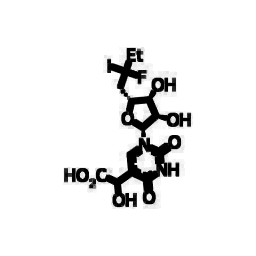 CCC(F)(I)C[C@H]1O[C@@H](n2cc(C(O)C(=O)O)c(=O)[nH]c2=O)[C@H](O)[C@@H]1O